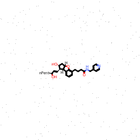 CCCCC[C@H](O)/C=C/[C@@H]1[C@H]2c3cccc(CCCC(=O)NCc4ccncc4)c3O[C@H]2C[C@H]1O